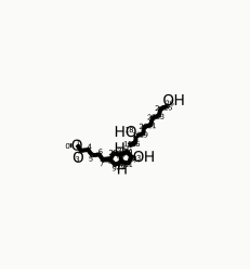 COC(=O)CCCC=C1C[C@H]2C[C@H](O)[C@@H](C=CC(O)CCCCCCCO)[C@@H]2C1